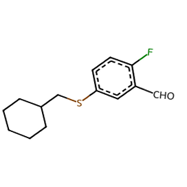 O=Cc1cc(SCC2CCCCC2)ccc1F